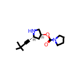 CC(C)(C)C#C[C@H]1C[C@H](OC(=O)N2CCCC2)CN1